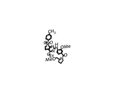 CCOc1nc(Nc2ccc(C(=O)N3CCCC3COC)cc2OC)nc2c1ccn2S(=O)(=O)c1ccc(C)cc1